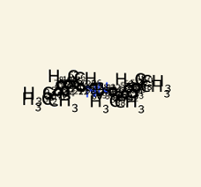 CC(C)(C)c1cc2ccc3cc4c(c5ccc(c1)c2c35)-c1ccc(-c2ccc3nc(-c5ccc6c(c5)C(C)(C)c5cc7ccc8cc(C(C)(C)C)cc9ccc(c5-6)c7c89)ccc3n2)cc1C4(C)C